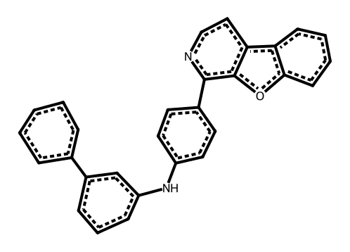 c1ccc(-c2cccc(Nc3ccc(-c4nccc5c4oc4ccccc45)cc3)c2)cc1